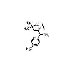 Cc1ccc(C(C)C(C)CC(C)(N)C(=O)O)cc1